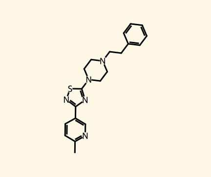 Cc1ccc(-c2nsc(N3CCN(CCc4ccccc4)CC3)n2)cn1